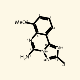 COc1cccc2c1nc(N)n1nc(C)nc21